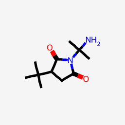 CC(C)(C)C1CC(=O)N(C(C)(C)N)C1=O